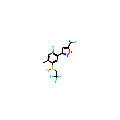 Cc1cc(F)c(-c2cc(C(F)F)on2)cc1[S+]([O-])CC(F)(F)F